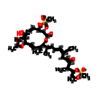 CCC(OS(C)(=O)=O)C(C)C1OC1CC(C)/C=C/C=C(\C)C1OC(=O)CC(OS(C)(=O)=O)CCC(C)(O)C(OC(C)=O)/C=C/C1C